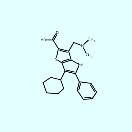 CN(C)Cc1c(C(=O)O)sc2c(C3CCCCC3)c(-c3ccccc3)[nH]c12